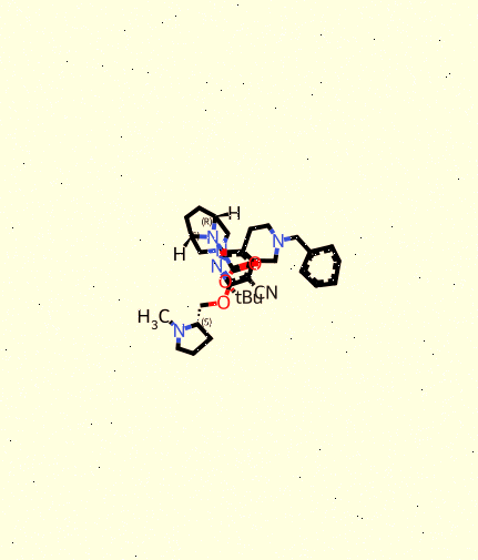 CN1CCC[C@H]1COc1nc(N2[C@@H]3CC[C@H]2CN(C(=O)OC(C)(C)C)C3)c2c(c1C#N)CN(Cc1ccccc1)CC2